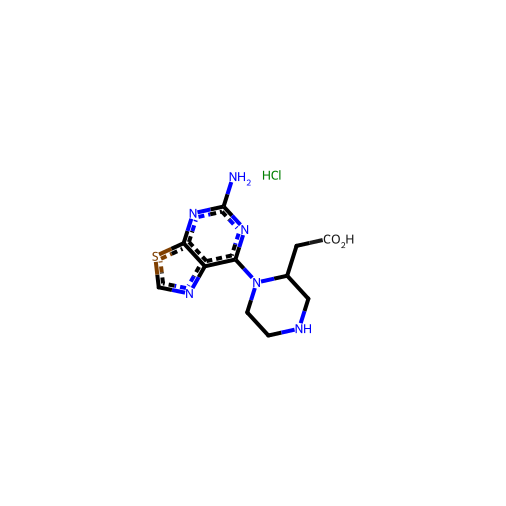 Cl.Nc1nc(N2CCNCC2CC(=O)O)c2ncsc2n1